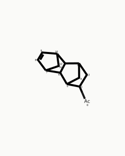 CC(=O)C1CC2CC1C1C3C=CC(C3)C21